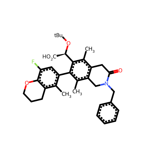 Cc1c(-c2c(C)c3c(c(C)c2[C@H](OC(C)(C)C)C(=O)O)CC(=O)N(Cc2ccccc2)C3)cc(F)c2c1CCCO2